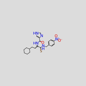 O=C(N[C@H](CCC1CCCCC1)C(=S)NCc1ccc([N+](=O)[O-])cc1)c1c[nH]cn1